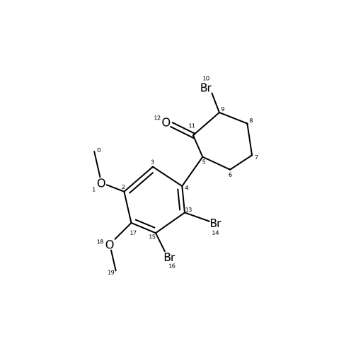 COc1cc(C2CCCC(Br)C2=O)c(Br)c(Br)c1OC